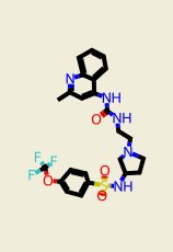 Cc1cc(NC(=O)NCCN2CCC(NS(=O)(=O)c3ccc(OC(F)(F)F)cc3)C2)c2ccccc2n1